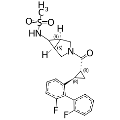 CS(=O)(=O)NC1[C@H]2CN(C(=O)[C@@H]3C[C@H]3c3cccc(F)c3-c3ccccc3F)C[C@@H]12